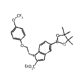 CCOC(=O)c1cc2cc(B3OC(C)(C)C(C)(C)O3)ccc2n1CCOc1ccc(OC(F)(F)F)cc1